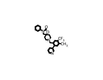 Cc1cc(-c2cccnc2)c(CN2CCC3(CC2)CN(c2ccccc2)C(=O)O3)cc1C(F)(F)F